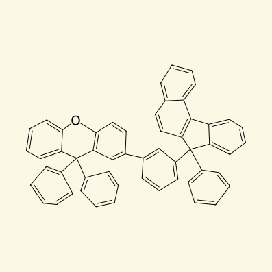 c1ccc(C2(c3ccccc3)c3ccccc3Oc3ccc(-c4cccc(C5(c6ccccc6)c6ccccc6-c6c5ccc5ccccc65)c4)cc32)cc1